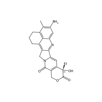 Bc1cc2nc3c(c4c2c(c1C)CCC4)Cn1c-3cc2c(c1=O)COC(=O)[C@]2(O)CC